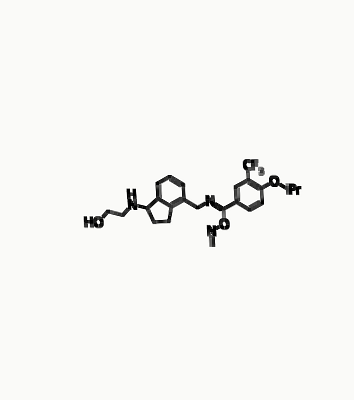 C=NO/C(=N\Cc1cccc2c1CCC2NCCO)c1ccc(OC(C)C)c(C(F)(F)F)c1